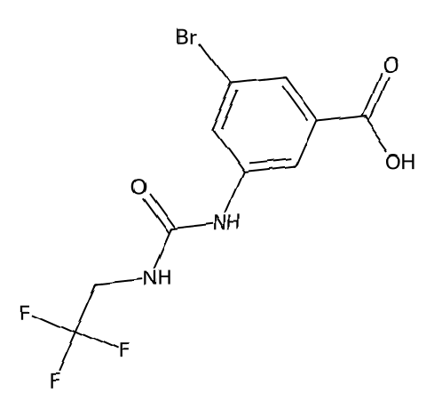 O=C(NCC(F)(F)F)Nc1cc(Br)cc(C(=O)O)c1